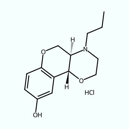 CCCN1CCO[C@@H]2c3cc(O)ccc3OC[C@H]21.Cl